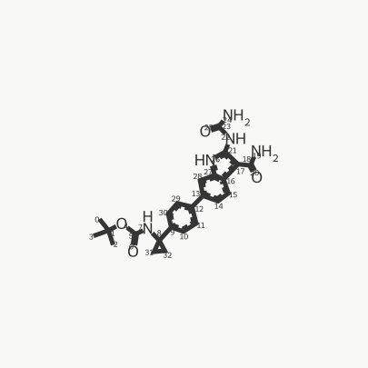 CC(C)(C)OC(=O)NC1(c2ccc(-c3ccc4c(C(N)=O)c(NC(N)=O)[nH]c4c3)cc2)CC1